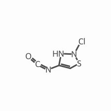 O=C=NC1=CSN(Cl)N1